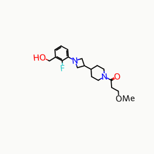 COCCC(=O)N1CCC(C2CN(c3cccc(CO)c3F)C2)CC1